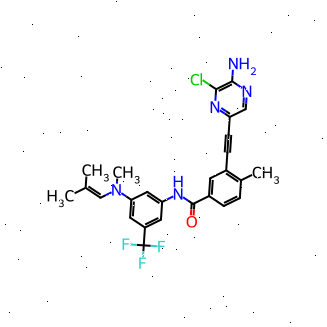 CC(C)=CN(C)c1cc(NC(=O)c2ccc(C)c(C#Cc3cnc(N)c(Cl)n3)c2)cc(C(F)(F)F)c1